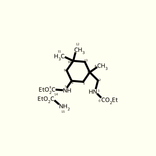 CCOC(=O)NCC1(C)CC(NC(=O)OCC)CC(C)(C)C1.CCOC(N)=O